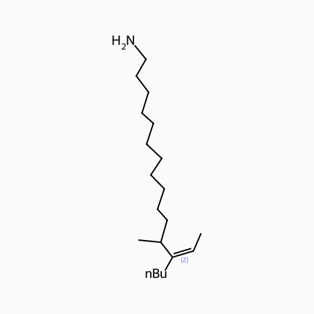 C/C=C(/CCCC)C(C)CCCCCCCCCCCN